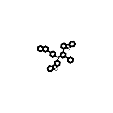 c1ccc(-c2cc(-c3cccc4c3sc3ccccc34)cc(N(c3ccc(-c4ccc5ccccc5c4)cc3)c3ccc4oc5ccccc5c4c3)c2)cc1